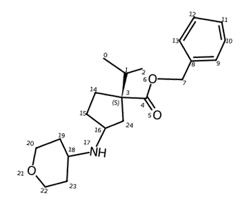 CC(C)[C@]1(C(=O)OCc2ccccc2)CCC(NC2CCOCC2)C1